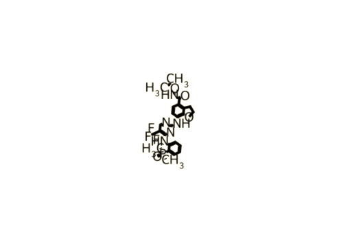 CC(C)ONC(=O)c1ccc(Nc2ncc(C(F)(F)F)c(Nc3ccccc3P(C)(C)=O)n2)c2c1CCO2